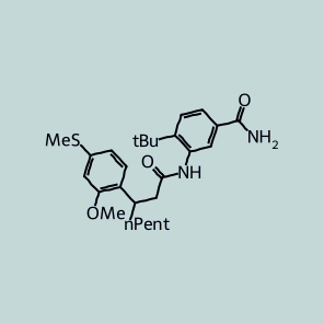 CCCCCC(CC(=O)Nc1cc(C(N)=O)ccc1C(C)(C)C)c1ccc(SC)cc1OC